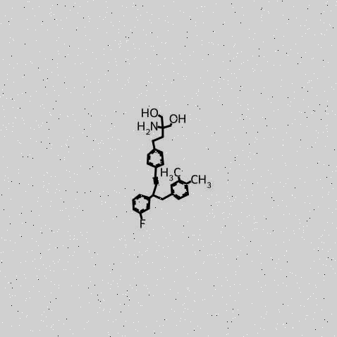 Cc1ccc(CC(C#Cc2ccc(CCC(N)(CO)CO)cc2)c2cccc(F)c2)cc1C